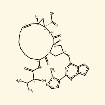 CC(C)[C@H](O)C(=O)N[C@H]1CCCCC/C=C\[C@@H]2C[C@@]2(C(=O)O)NC(=O)[C@@H]2C[C@@H](Oc3nc(-c4ccnn4C)nc4ccsc34)CN2C1=O